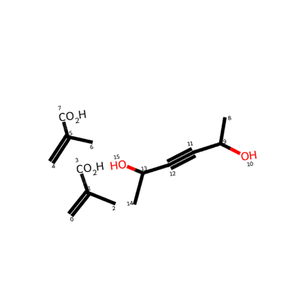 C=C(C)C(=O)O.C=C(C)C(=O)O.CC(O)C#CC(C)O